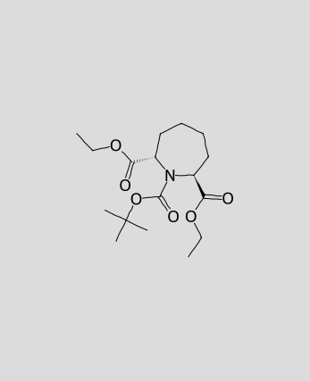 CCOC(=O)[C@@H]1CCCC[C@@H](C(=O)OCC)N1C(=O)OC(C)(C)C